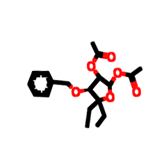 CCC1(CC)OC(OC(C)=O)C(OC(C)=O)[C@@H]1OCc1ccccc1